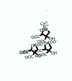 O=C([O-])CC(O)(C(=O)[O-])C(O)C(=O)[O-].O=C([O-])CC(O)(C(=O)[O-])C(O)C(=O)[O-].O=C([O-])CC(O)(C(=O)[O-])C(O)C(=O)[O-].[Al+3].[Ca+2].[Ca+2].[Ca+2]